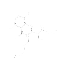 COCCCn1c(C(C)NC(=O)O)nc2c(F)ccc(F)c2c1=O